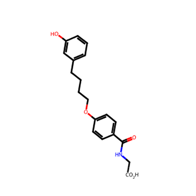 O=C(O)CNC(=O)c1ccc(OCCCCc2cccc(O)c2)cc1